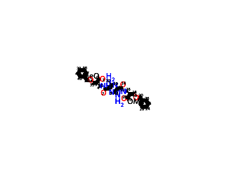 COC(=O)[C@H](CNC(=O)c1nc(N)c(C(=O)NC[C@H](COCc2ccccc2)C(=O)OC)nc1N)COCc1ccccc1